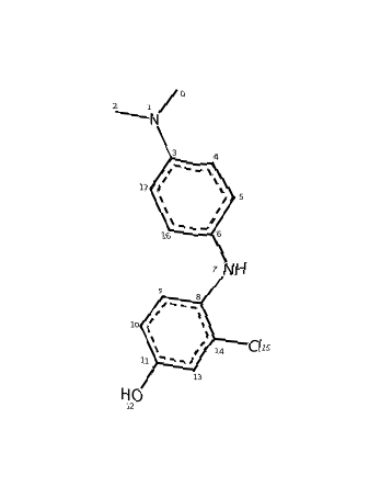 CN(C)c1ccc(Nc2ccc(O)cc2Cl)cc1